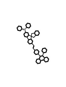 C(=C\c1ccc2c(c1)C1(Cc3ccccc3C1)c1cc(N(c3ccccc3)c3ccccc3)ccc1-2)/c1ccc(-c2c(-c3ccccc3)c3ccccc3c3ccccc23)cc1